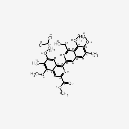 COC(=O)c1cc2c(OC)c(C)c(OC)cc2c(-c2cc3cc(C)c(OC)c(OC)c3c(CO)n2)n1.ClCCl